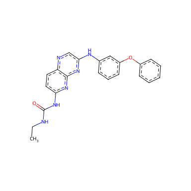 CCNC(=O)Nc1ccc2ncc(Nc3cccc(Oc4ccccc4)c3)nc2n1